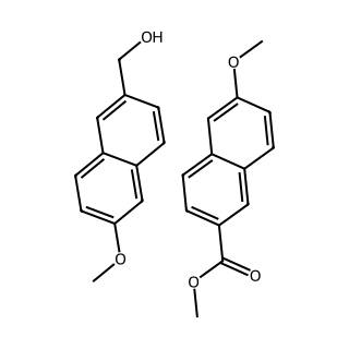 COC(=O)c1ccc2cc(OC)ccc2c1.COc1ccc2cc(CO)ccc2c1